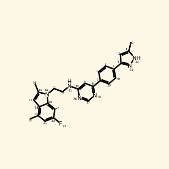 Cc1cc(-c2ccc(-c3cc(NCCn4c(C)cc5c(C)cc(F)cc54)ncn3)cc2)n[nH]1